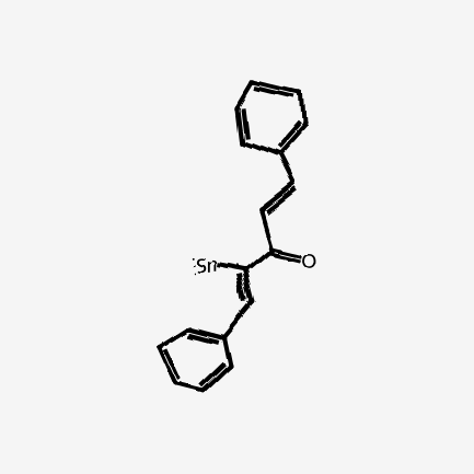 O=C(C=Cc1ccccc1)[C]([Sn])=Cc1ccccc1